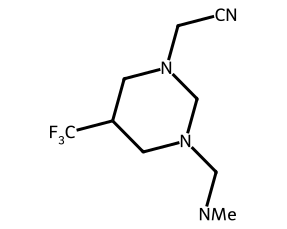 CNCN1CC(C(F)(F)F)CN(CC#N)C1